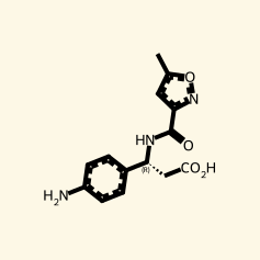 Cc1cc(C(=O)N[C@H](CC(=O)O)c2ccc(N)cc2)no1